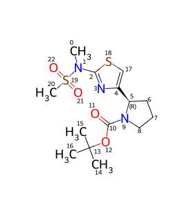 CN(c1nc([C@H]2CCCN2C(=O)OC(C)(C)C)cs1)S(C)(=O)=O